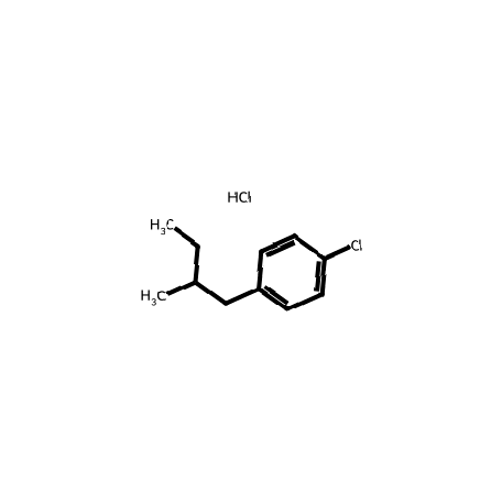 CCC(C)Cc1ccc(Cl)cc1.Cl